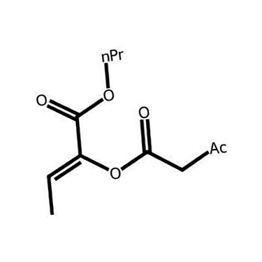 C/C=C(\OC(=O)CC(C)=O)C(=O)OCCC